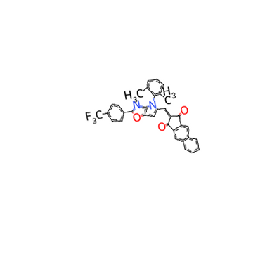 Cc1cccc(C)c1-n1c(C=C2C(=O)c3cc4ccccc4cc3C2=O)cc2oc(-c3ccc(C(F)(F)F)cc3)nc21